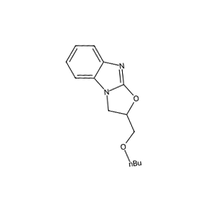 CCCCOCC1Cn2c(nc3ccccc32)O1